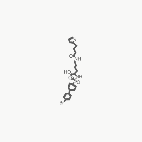 O=C(CCCc1cccs1)NCCCCC(NS(=O)(=O)c1ccc(-c2ccc(Br)cc2)cc1)C(=O)O